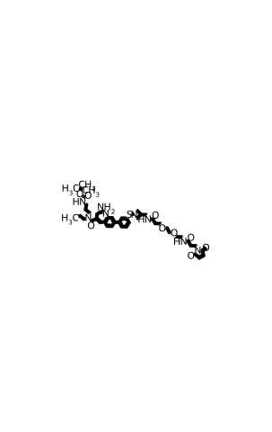 CCCN(CCCNC(=O)OC(C)(C)C)C(=O)C1=Cc2ccc(-c3cccc(SN4CC(CNC(=O)CCOCCOCCNC(=O)CCN5C(=O)C=CC5=O)C4)c3)cc2N=C(N)C1